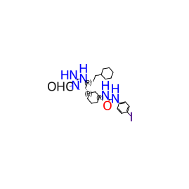 CN(C=O)C(=N)N[C@H](CCC1CCCCC1)C[C@H]1CCC[C@@H](NC(=O)Nc2ccc(I)cc2)C1